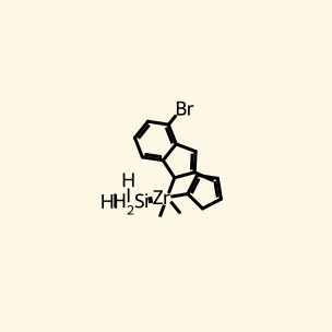 CC1=Cc2c(Br)cccc2[CH]1[Zr]([CH3])([CH3])(=[SiH2])[C]1=CC=CC1.I.I